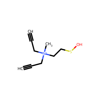 C#CC[N+](C)(CC#C)CCSO